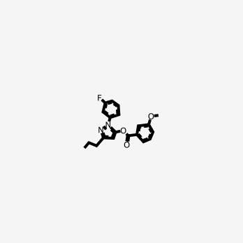 CCCc1cc(OC(=O)c2cccc(OC)c2)n(-c2cccc(F)c2)n1